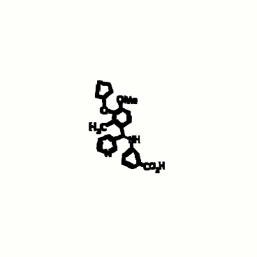 COc1ccc([C@H](Nc2cccc(C(=O)O)c2)c2cccnc2)c(C)c1OC1CCCC1